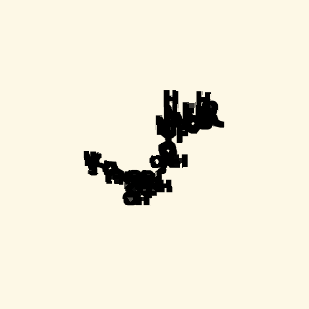 CCCS(=O)(=O)Nc1ccc(F)c(-c2c[nH]c3ncc(-c4ccc(NC(=O)CCCC(=O)N[C@H](C(=O)N5C[C@H](O)C[C@H]5C(=O)NCc5ccc(-c6scnc6C)cc5)C(C)(C)C)cc4)cc23)c1F